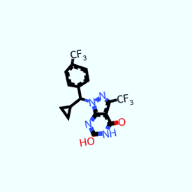 O=c1[nH]c(O)nc2c1c(C(F)(F)F)nn2C(c1ccc(C(F)(F)F)cc1)C1CC1